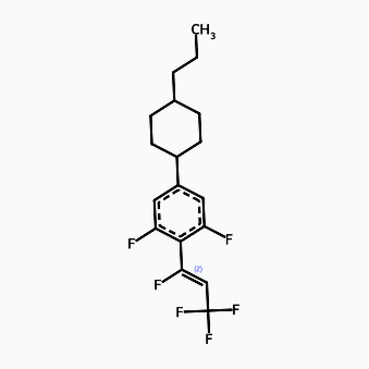 CCCC1CCC(c2cc(F)c(/C(F)=C/C(F)(F)F)c(F)c2)CC1